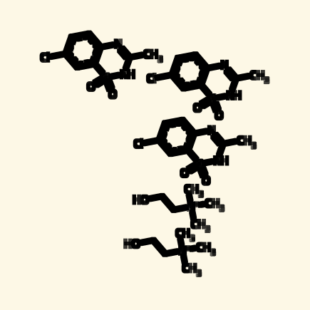 CC1=Nc2ccc(Cl)cc2S(=O)(=O)N1.CC1=Nc2ccc(Cl)cc2S(=O)(=O)N1.CC1=Nc2ccc(Cl)cc2S(=O)(=O)N1.C[N+](C)(C)CCO.C[N+](C)(C)CCO